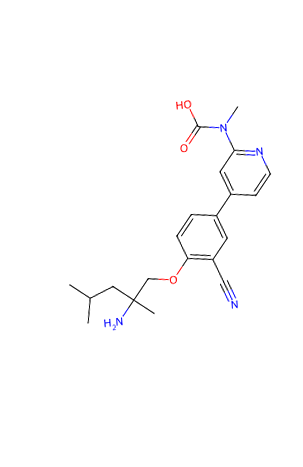 CC(C)CC(C)(N)COc1ccc(-c2ccnc(N(C)C(=O)O)c2)cc1C#N